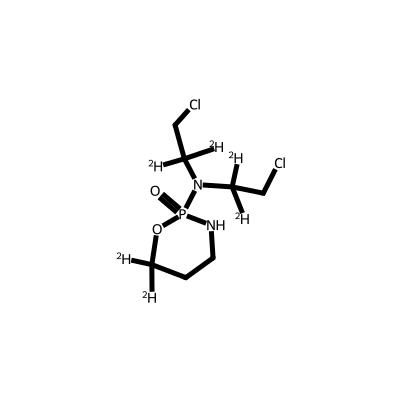 [2H]C1([2H])CCNP(=O)(N(C([2H])([2H])CCl)C([2H])([2H])CCl)O1